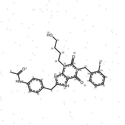 CC(=O)Nc1ccc(Cc2nc3c([nH]2)c(=O)n(Cc2ccccc2F)c(=O)n3CCCCO)cc1